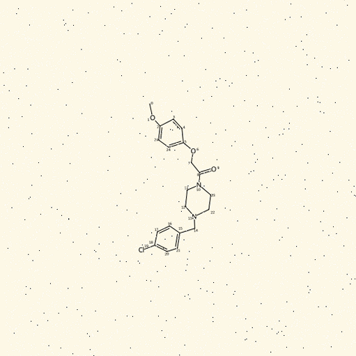 COc1ccc(OCC(=O)N2CCN(Cc3ccc(Cl)cc3)CC2)cc1